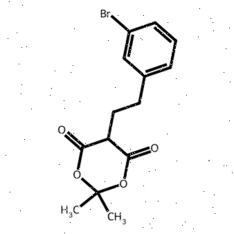 CC1(C)OC(=O)C(CCc2cccc(Br)c2)C(=O)O1